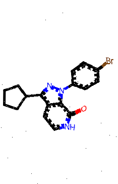 O=c1[nH]ccc2c(C3CCCC3)nn(-c3ccc(Br)cc3)c12